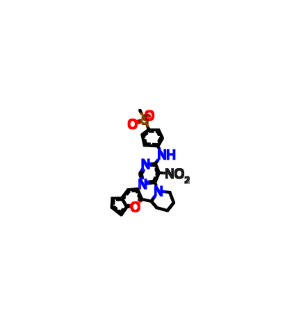 CS(=O)(=O)c1ccc(Nc2ncnc(N3CCCCC3c3ccc4cccc-4o3)c2[N+](=O)[O-])cc1